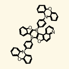 c1ccc2c(c1)Oc1ccccc1N2c1ccc(B2c3oc4ccc5ncccc5c4c3B(c3ccc(N4c5ccccc5Oc5ccccc54)cc3)c3oc4ccccc4c32)cc1